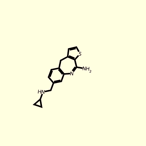 NC1=Nc2cc(CNC3CC3)ccc2Cc2ccsc21